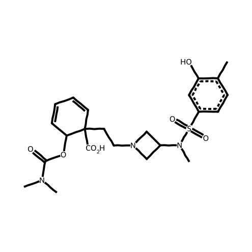 Cc1ccc(S(=O)(=O)N(C)C2CN(CCC3(C(=O)O)C=CC=CC3OC(=O)N(C)C)C2)cc1O